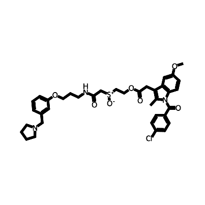 COc1ccc2c(c1)c(CC(=O)OCC[S+]([O-])CC(=O)NCCCOc1cccc(CN3CCCC3)c1)c(C)n2C(=O)c1ccc(Cl)cc1